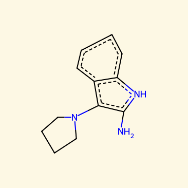 Nc1[nH]c2ccccc2c1N1CCCC1